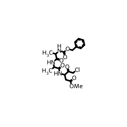 COC(=O)CC(NC(=O)C(C)NC(=O)C(C)NC(=O)OCc1ccccc1)C(=O)CCl